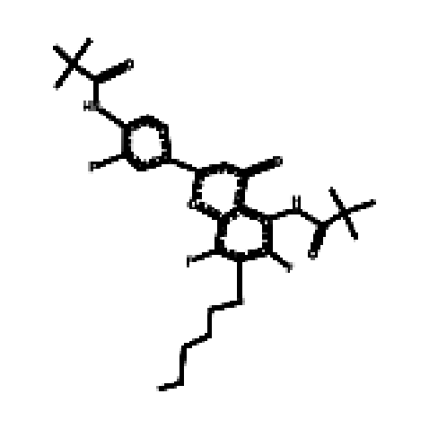 CCCCCCc1c(F)c(NC(=O)C(C)(C)C)c2c(=O)cc(-c3ccc(NC(=O)C(C)(C)C)c(F)c3)oc2c1F